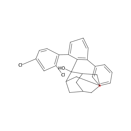 OC1(c2c(-c3ccccc3)cccc2-c2ccc(Cl)cc2Cl)C2CC3CC(C2)CC1C3